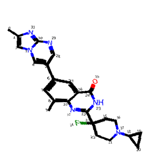 Cc1cn2cc(-c3cc(C)c4nc(C5(F)CCN(C6CC6)CC5)[nH]c(=O)c4c3)cnc2n1